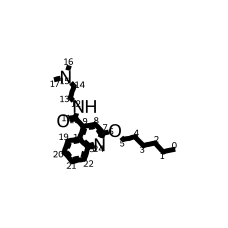 CCCCCCOc1cc(C(=O)NCCN(C)C)c2ccccc2n1